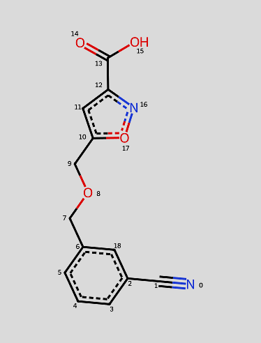 N#Cc1cccc(COCc2cc(C(=O)O)no2)c1